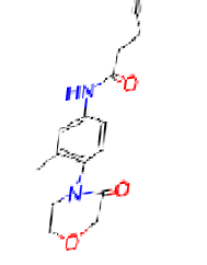 C#CCCC(=O)Nc1ccc(N2CCOCC2=O)c(C)c1